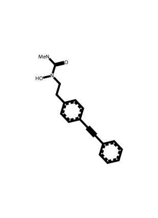 CNC(=O)N(O)CCc1ccc(C#Cc2ccccc2)cc1